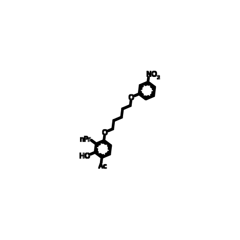 CCCc1c(OCCCCCOc2cccc([N+](=O)[O-])c2)ccc(C(C)=O)c1O